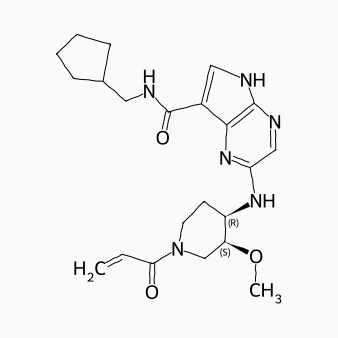 C=CC(=O)N1CC[C@@H](Nc2cnc3[nH]cc(C(=O)NCC4CCCC4)c3n2)[C@@H](OC)C1